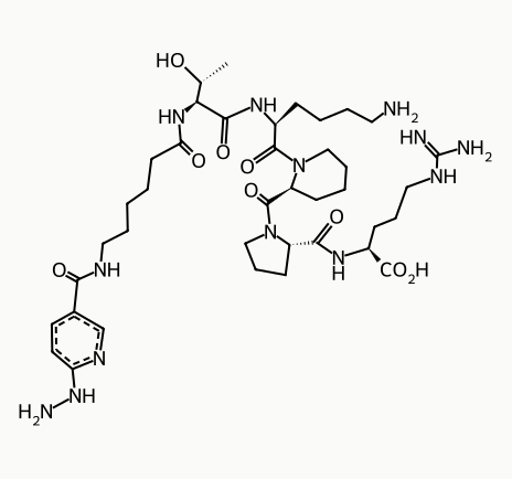 C[C@@H](O)[C@H](NC(=O)CCCCCNC(=O)c1ccc(NN)nc1)C(=O)N[C@@H](CCCCN)C(=O)N1CCCC[C@H]1C(=O)N1CCC[C@H]1C(=O)N[C@@H](CCCNC(=N)N)C(=O)O